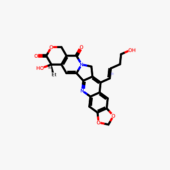 CC[C@@]1(O)C(=O)OCc2c1cc1n(c2=O)Cc2c-1nc1cc3c(cc1c2/C=C/CCO)OCO3